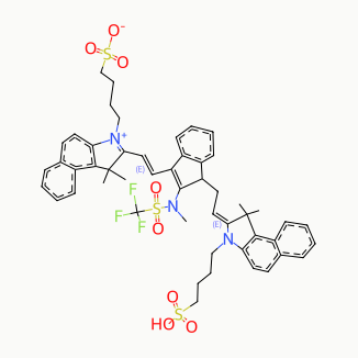 CN(C1=C(/C=C/C2=[N+](CCCCS(=O)(=O)[O-])c3ccc4ccccc4c3C2(C)C)c2ccccc2C1C/C=C1/N(CCCCS(=O)(=O)O)c2ccc3ccccc3c2C1(C)C)S(=O)(=O)C(F)(F)F